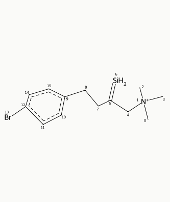 C[N+](C)(C)CC(=[SiH2])CCc1ccc(Br)cc1